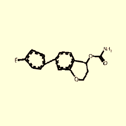 NC(=O)OC1CCOc2cc(-c3ccc(F)cc3)ccc21